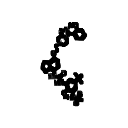 COc1c(NC(=O)Nc2ccc(OCCN3CCn4c(nnc4-c4ccccc4O)C3)c3c2CCC3)cc(C(C)(C)C)cc1NS(C)(=O)=O